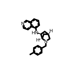 Cc1ccc(CN2C[C@@H]3C[C@H](Nc4cccc5cnccc45)[C@H]2C3)cc1